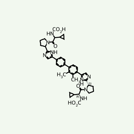 Cc1c(-c2ccc(-c3cnc(C4CCCN4C(=O)C(NC(=O)O)C4CC4)[nH]3)cc2)ccc(-c2cnc([C@@H]3CCCN3C(=O)[C@H](NC(=O)O)C3CC3)[nH]2)c1C